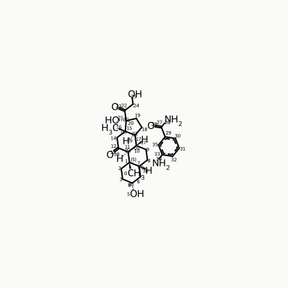 C[C@]12CC[C@@H](O)C[C@H]1CC[C@@H]1[C@@H]2C(=O)C[C@@]2(C)[C@H]1CC[C@]2(O)C(=O)CO.NC(=O)c1cccc(N)c1